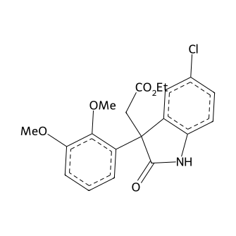 CCOC(=O)CC1(c2cccc(OC)c2OC)C(=O)Nc2ccc(Cl)cc21